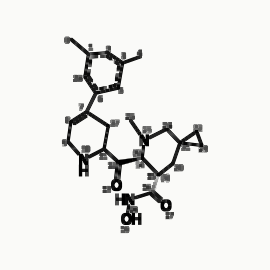 Cc1cc(C)cc(C2=CCNC(C(=O)[C@@H]3[C@@H](C(=O)NO)CC4(CC4)CN3C)C2)c1